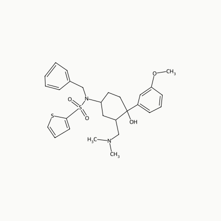 COc1cccc(C2(O)CCC(N(Cc3ccccc3)S(=O)(=O)c3cccs3)CC2CN(C)C)c1